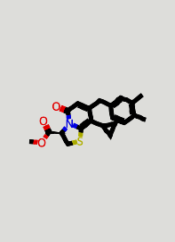 COC(=O)[C@@H]1CSc2c(C3CC3)c(Cc3ccc(C)c(C)c3)cc(=O)n21